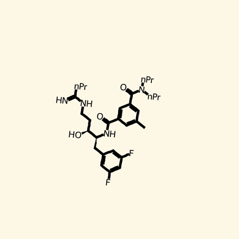 CCCC(=N)NCC[C@H](O)[C@H](Cc1cc(F)cc(F)c1)NC(=O)c1cc(C)cc(C(=O)N(CCC)CCC)c1